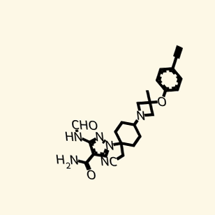 C#Cc1ccc(OC2(C)CN(C3CCC(CC#N)(n4cc(C(N)=O)c(NC=O)n4)CC3)C2)cc1